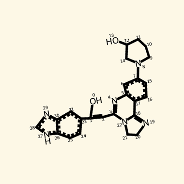 O/C(=C\C1=Nc2cc(N3CCCC(O)C3)ccc2C2=NCCN12)c1ccc2[nH]cnc2c1